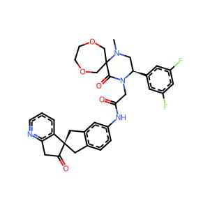 CN1C[C@@H](c2cc(F)cc(F)c2)N(CC(=O)Nc2ccc3c(c2)C[C@@]2(C3)C(=O)Cc3ncccc32)C(=O)C12COCCOC2